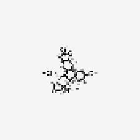 CC1(C)Oc2cc3c4c(c5ccc(O)cc5c3cc2O1)[C@H](O)[C@@H]1CCCN1C4.Cl